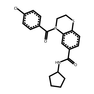 O=C(NC1CCCC1)c1ccc2c(c1)N(C(=O)c1ccc(Cl)cc1)CCS2